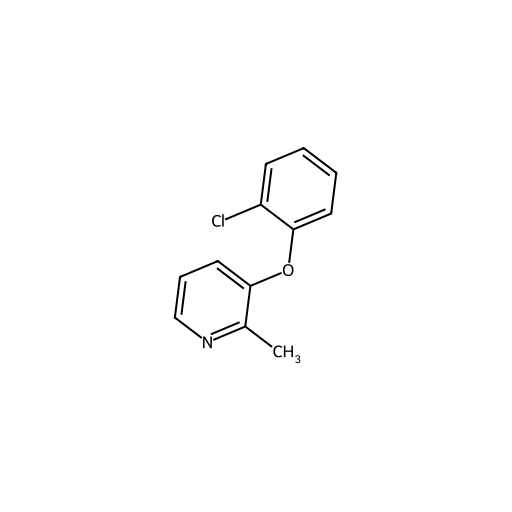 Cc1ncccc1Oc1ccccc1Cl